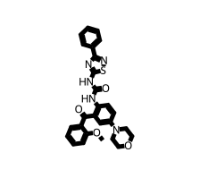 COc1ccccc1C(=O)c1cc(N2CCOCC2)ccc1NC(=O)Nc1nc(-c2ccccc2)ns1